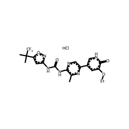 CCOc1cc(-c2cnc(NC(=O)Nc3cc(C(C)(C)C(F)(F)F)on3)c(C)n2)c[nH]c1=O.Cl